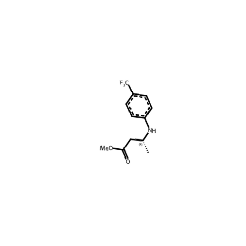 COC(=O)C[C@@H](C)Nc1ccc(C(F)(F)F)cc1